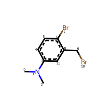 CN(C)c1ccc(Br)c(CBr)c1